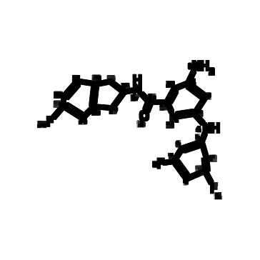 Nc1cc(Nc2cc(F)cc(F)c2)nc(C(=O)NC2Cc3ccc(F)cc3C2)c1